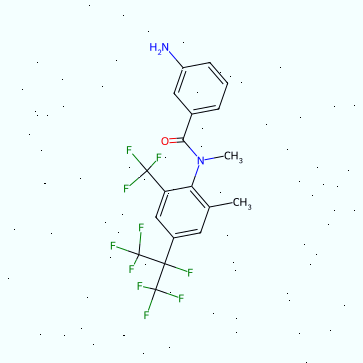 Cc1cc(C(F)(C(F)(F)F)C(F)(F)F)cc(C(F)(F)F)c1N(C)C(=O)c1cccc(N)c1